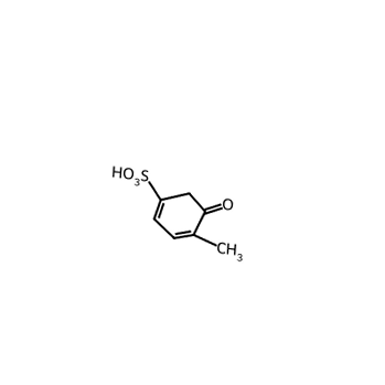 CC1=CC=C(S(=O)(=O)O)CC1=O